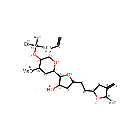 C=CC[C@@H]1O[C@@H](C2OC(CCC3CC(=C)C(CC)O3)CC2O)CC(OC)C1O[Si](CC)(CC)CC